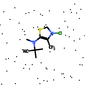 CN(C1=C(C(F)(F)F)N(Cl)CS1)C(C)(C)C#N